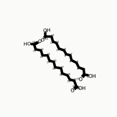 O=C(O)CCCCCCCCCCCC(=O)O.O=C(O)CCCCCCCCCCCCC(=O)O